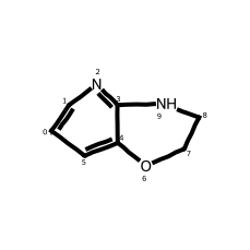 [c]1cnc2c(c1)OCCN2